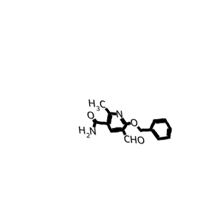 Cc1nc(OCc2ccccc2)c(C=O)cc1C(N)=O